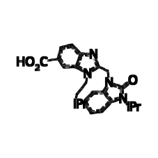 CC(C)CCn1c(Cn2c(=O)n(C(C)C)c3ccccc32)nc2ccc(C(=O)O)cc21